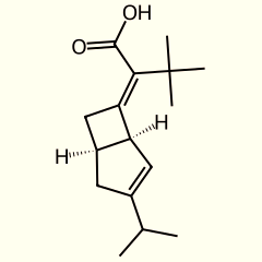 CC(C)C1=C[C@@H]2/C(=C(/C(=O)O)C(C)(C)C)C[C@@H]2C1